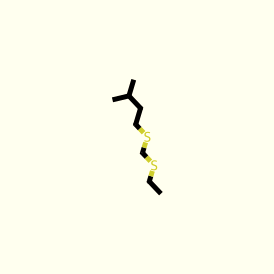 CCSCSCCC(C)C